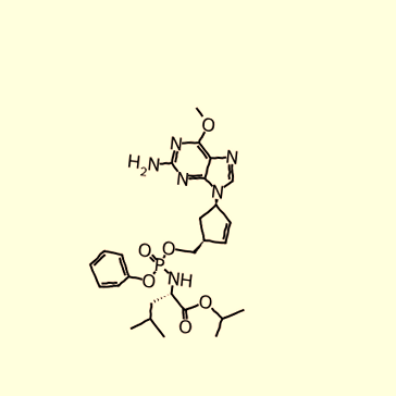 COc1nc(N)nc2c1ncn2[C@H]1C=C[C@@H](COP(=O)(N[C@@H](CC(C)C)C(=O)OC(C)C)Oc2ccccc2)C1